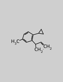 [CH2]C(C=C)c1cc(C)ccc1C1CC1